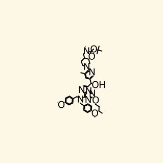 CCCCOc1nc(N(Cc2ccc(OC)cc2)Cc2ccc(OC)cc2)c2ncc(C(O)c3cnc(N4CCC(CN(C)C(=O)OC(C)(C)C)CC4)c(C)c3)n2n1